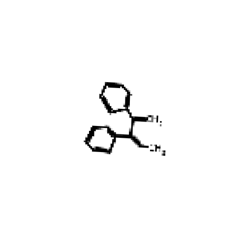 C=C(C(=CC)c1ccccc1)c1ccccc1